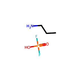 CCCN.O=P(O)(F)F